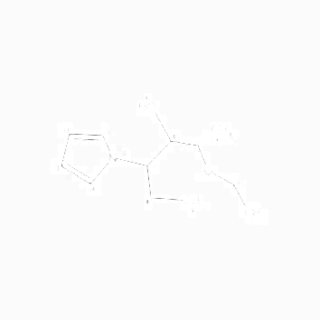 CCO[C@@H](C)C(O)C(CC)n1cccc1